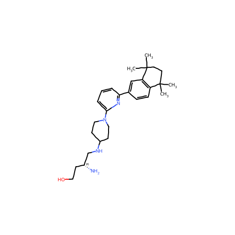 CC1(C)CCC(C)(C)c2cc(-c3cccc(N4CCC(NC[C@H](N)CCO)CC4)n3)ccc21